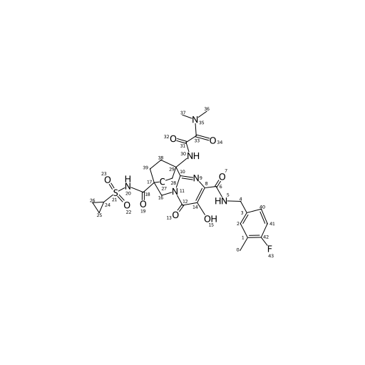 Cc1cc(CNC(=O)c2nc3n(c(=O)c2O)CC2(C(=O)NS(=O)(=O)C4CC4)CCC3(NC(=O)C(=O)N(C)C)CC2)ccc1F